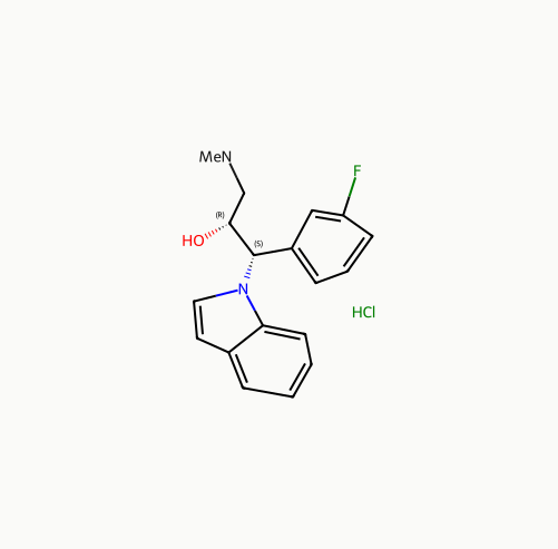 CNC[C@@H](O)[C@H](c1cccc(F)c1)n1ccc2ccccc21.Cl